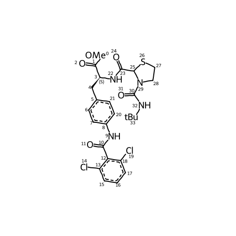 COC(=O)[C@H](Cc1ccc(NC(=O)c2c(Cl)cccc2Cl)cc1)NC(=O)C1SCCN1C(=O)NC(C)(C)C